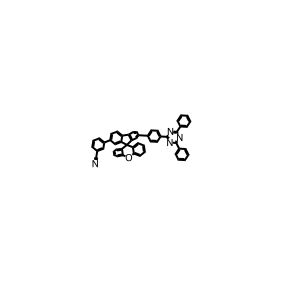 N#Cc1cccc(-c2ccc3c(c2)C2(c4ccccc4Oc4ccccc42)c2cc(-c4ccc(-c5nc(-c6ccccc6)nc(-c6ccccc6)n5)cc4)ccc2-3)c1